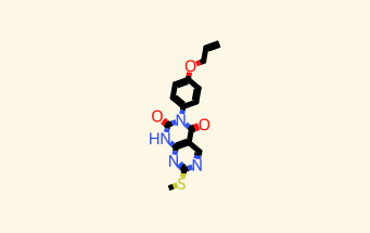 C=CCOc1ccc(-n2c(=O)[nH]c3nc(SC)ncc3c2=O)cc1